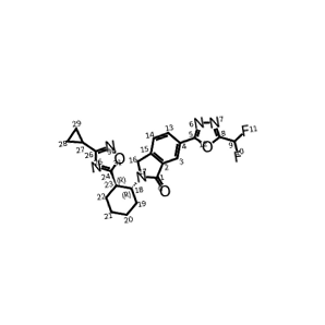 O=C1c2cc(-c3nnc(C(F)F)o3)ccc2CN1[C@@H]1CCCC[C@H]1c1nc(C2CC2)no1